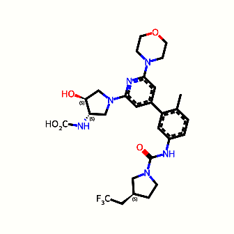 Cc1ccc(NC(=O)N2CC[C@@H](CC(F)(F)F)C2)cc1-c1cc(N2CCOCC2)nc(N2C[C@H](NC(=O)O)[C@@H](O)C2)c1